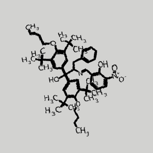 CCCCOc1c(C(C)(C)C)cc(C(O)(c2cc(C(C)(C)C)c(OCCCC)c(C(C)(C)C)c2)C(Cc2ccccc2)N=Cc2cccc([N+](=O)[O-])c2O)cc1C(C)(C)C